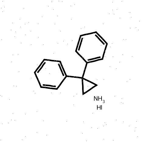 I.N.c1ccc(C2(c3ccccc3)CC2)cc1